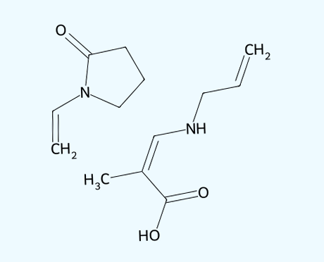 C=CCNC=C(C)C(=O)O.C=CN1CCCC1=O